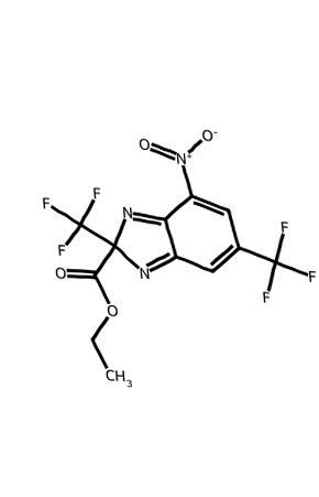 CCOC(=O)C1(C(F)(F)F)N=c2cc(C(F)(F)F)cc([N+](=O)[O-])c2=N1